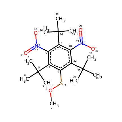 COSc1c(C(C)(C)C)c([N+](=O)[O-])c(C(C)(C)C)c([N+](=O)[O-])c1C(C)(C)C